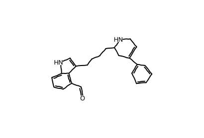 O=Cc1cccc2[nH]cc(CCCCC3CC(c4ccccc4)=CCN3)c12